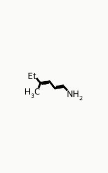 CCC(C)=CC=CN